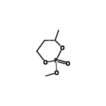 COP1(=O)OCCC(C)O1